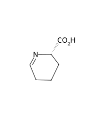 O=C(O)[C@@H]1CCCC=N1